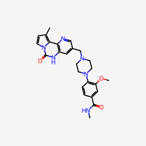 CNC(=O)c1ccc(N2CCN(Cc3cnc4c(c3)[nH]c(=O)n3ccc(C)c43)CC2)c(OC)c1